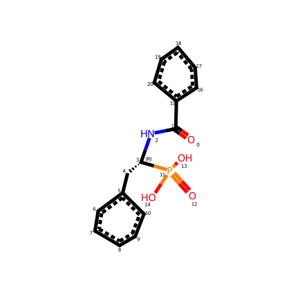 O=C(N[C@@H](Cc1ccccc1)P(=O)(O)O)c1ccccc1